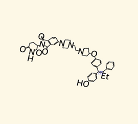 CC/C(=C(\c1ccc(O)cc1)c1ccc(OC2CCN(CCN3CCN(c4ccc5c(c4)C(=O)N(C4CCC(=O)NC4=O)C5=O)CC3)CC2)cc1)c1ccccc1